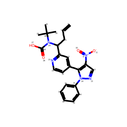 C=CCC(c1cc(-c2c([N+](=O)[O-])cnn2-c2ccccc2)ccn1)N(C(=O)O)C(C)(C)C